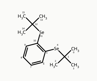 CC(C)(C)[Se]c1[c]cccc1[Se]C(C)(C)C